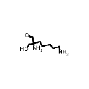 NCCCCCC(N)(C=O)CO